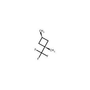 C[C@H]1C[C@](C)(C(F)(F)F)C1